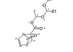 CCOC(CC)OC(C)OC(=O)C1CC2C=CC1C2=O